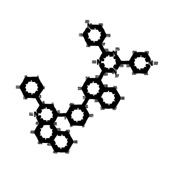 c1ccc(-c2cc(-c3cccc(-c4ccc(-c5nc(-c6ccncc6)nc(-c6ccncc6)n5)c5ccccc45)c3)c3c(ccc4ccccc43)n2)cc1